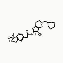 N#Cc1c(NC(=O)Cc2ccc3c(c2)CNS3(=O)=O)sc2c1CN(CC1CCCCC1)CC2